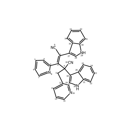 N#C/C(=C(\c1ccccn1)C(C#N)(Cc1cccnc1)c1c[nH]c2ccccc12)c1c[nH]c2ccccc12